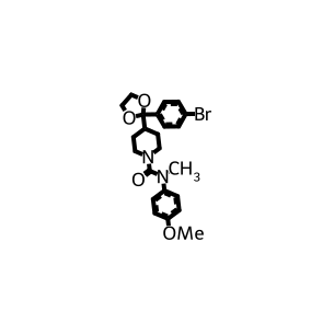 COc1ccc(N(C)C(=O)N2CCC(C3(c4ccc(Br)cc4)OCCO3)CC2)cc1